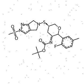 Cc1ccc(F)c(C2OC[C@H](SN3Cc4cn(S(C)(=O)=O)nc4C3)C/C2=N\C(=O)OC(C)(C)C)c1